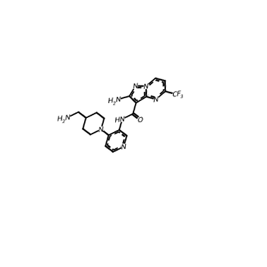 NCC1CCN(c2ccncc2NC(=O)c2c(N)nn3ccc(C(F)(F)F)nc23)CC1